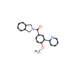 COc1ccc(C(=O)N2Cc3ccccc3C2)cc1-c1ccccn1